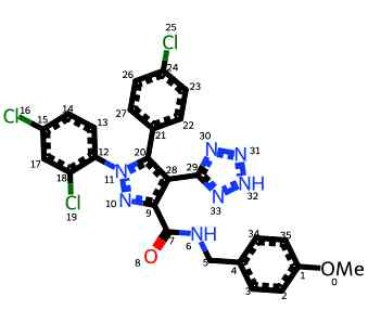 COc1ccc(CNC(=O)c2nn(-c3ccc(Cl)cc3Cl)c(-c3ccc(Cl)cc3)c2-c2nn[nH]n2)cc1